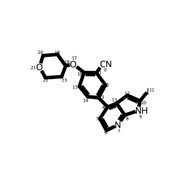 N#Cc1cc(-c2ccnc3[nH]c(I)cc23)ccc1OC1CCOCC1